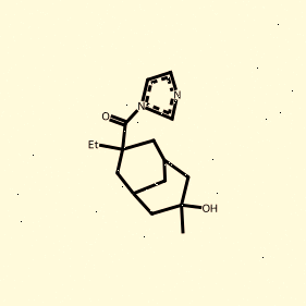 CCC1(C(=O)n2ccnc2)CC2CC(CC(C)(O)C2)C1